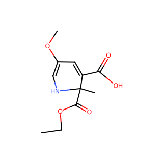 CCOC(=O)C1(C)NC=C(OC)C=C1C(=O)O